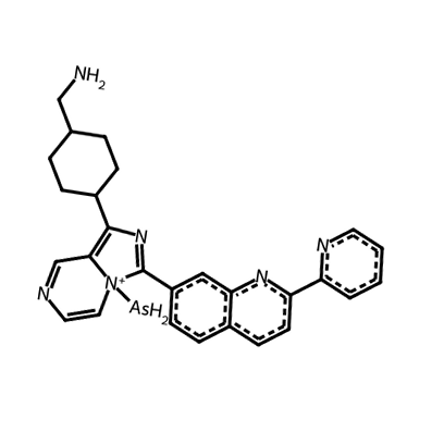 NCC1CCC(C2=C3C=NC=C[N+]3([AsH2])C(c3ccc4ccc(-c5ccccn5)nc4c3)=N2)CC1